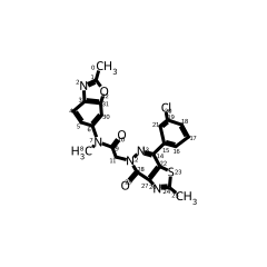 Cc1nc2ccc(N(C)C(=O)Cn3nc(-c4cccc(Cl)c4)c4sc(C)nc4c3=O)cc2o1